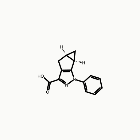 O=C(O)c1nn(-c2ccccc2)c2c1C[C@H]1C[C@@H]21